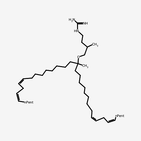 CCCCC/C=C\C/C=C\CCCCCCCCC(C)(CCCCCCCC/C=C\C/C=C\CCCCC)OCC(C)CCNC(=N)N